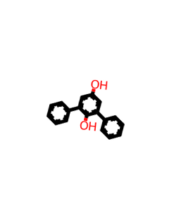 Oc1cc(-c2ccccc2)c(O)c(-c2ccccc2)c1